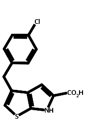 O=C(O)c1cc2c(Cc3ccc(Cl)cc3)csc2[nH]1